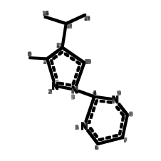 Cc1nn(-c2ncccn2)cc1C(C)C